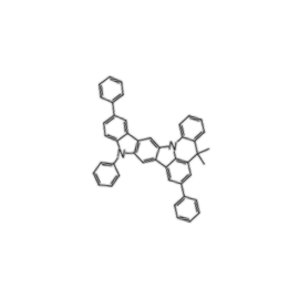 CC1(C)c2ccccc2-n2c3cc4c5cc(-c6ccccc6)ccc5n(-c5ccccc5)c4cc3c3cc(-c4ccccc4)cc1c32